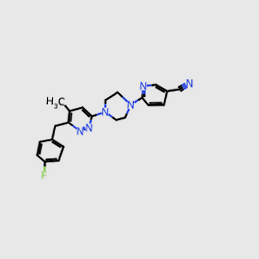 Cc1cc(N2CCN(c3ccc(C#N)cn3)CC2)nnc1Cc1ccc(F)cc1